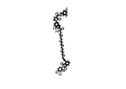 O=C1CCC(N2C(=O)c3cccc(C#CCOCCOCCOCCOCCOCCNC(=O)c4cc5cc(N6CCC(C(=O)NCc7cc(F)cc(F)c7)C6=O)ccc5[nH]4)c3C2=O)C(=O)N1